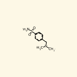 [CH2]N([CH2])Cc1ccc(S(N)(=O)=O)cc1